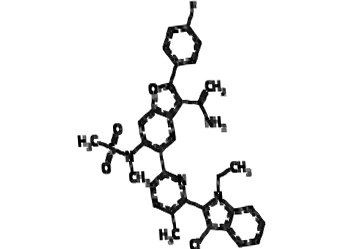 C=C(N)c1c(-c2ccc(F)cc2)oc2cc(N(C)S(C)(=O)=O)c(-c3ccc(C)c(-c4c(Cl)c5ccccc5n4CC)n3)cc12